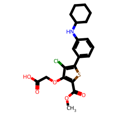 COC(=O)c1sc(-c2cccc(NC3CCCCC3)c2)c(Cl)c1OCC(=O)O